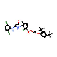 CCC(C)(C)c1ccc(OCCOC(=O)c2ccc(C)c(-n3[nH]c(Nc4cc(Cl)ccc4Cl)cc3=O)c2Cl)c(C(C)(C)CC)c1